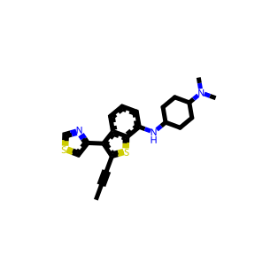 CC#Cc1sc2c(NC3CCC(N(C)C)CC3)cccc2c1-c1cscn1